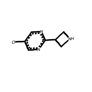 Clc1cnc(C2CNC2)nc1